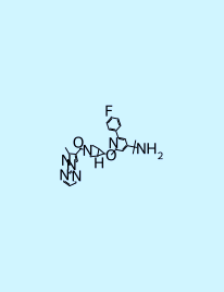 Cc1nn(-c2ncccn2)cc1C(=O)N1CC2[C@@H](C1)[C@@H]2Oc1cc(C(C)(C)N)cc(-c2ccc(F)cc2)n1